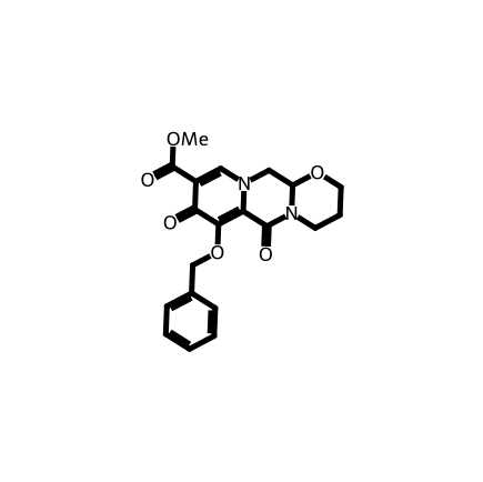 COC(=O)c1cn2c(c(OCc3ccccc3)c1=O)C(=O)N1CCCOC1C2